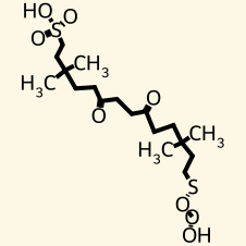 CC(C)(CCSOOO)CCC(=O)CCC(=O)CCC(C)(C)CCS(=O)(=O)O